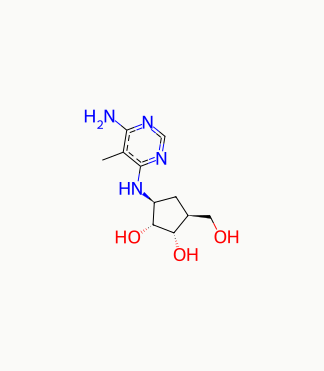 Cc1c(N)ncnc1N[C@H]1C[C@@H](CO)[C@H](O)[C@@H]1O